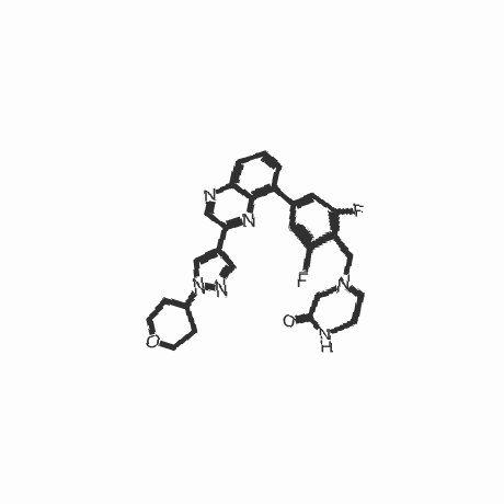 O=C1CN(Cc2c(F)cc(-c3cccc4ncc(-c5cnn(C6CCOCC6)c5)nc34)cc2F)CCN1